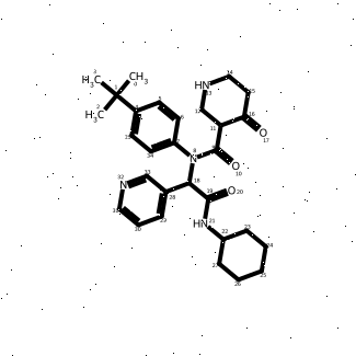 CC(C)(C)c1ccc(N(C(=O)C2CNCCC2=O)C(C(=O)NC2CCCCC2)c2cccnc2)cc1